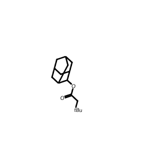 CC(C)(C)CC(=O)OC1C2CC3CC(C2)CC1C3